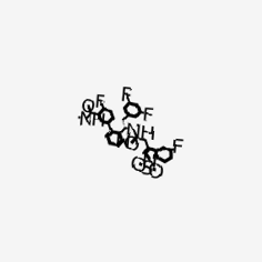 CNC(=O)c1cc(-c2cccnc2[C@H](Cc2cc(F)cc(F)c2)NC(=O)Cc2cn(S(C)(=O)=O)c3ccc(F)cc23)ccc1F